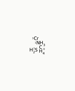 C.N.S.[Cr]